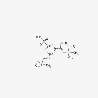 CC1(COc2cc(C3=CC(C)(C)C(=O)N=C3)cc(S(C)(=O)=O)c2)COC1